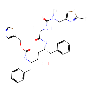 CCN(Cc1csc(C(C)C)n1)C(=O)N[C@H](C(=O)N[C@@H](Cc1ccccc1)C[C@H](O)[C@H](Cc1ccccc1)NC(=O)OCc1cncs1)C(C)C